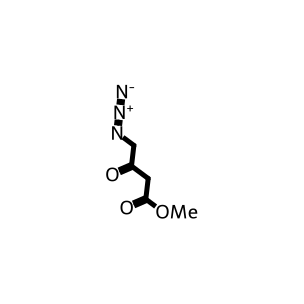 COC(=O)CC(=O)CN=[N+]=[N-]